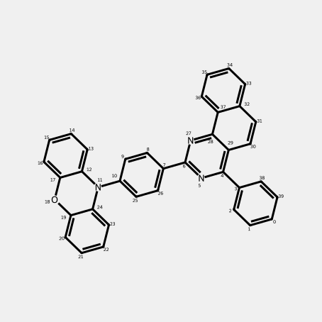 c1ccc(-c2nc(-c3ccc(N4c5ccccc5Oc5ccccc54)cc3)nc3c2ccc2ccccc23)cc1